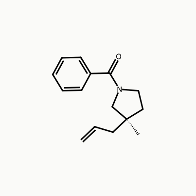 C=CC[C@]1(C)CCN(C(=O)c2ccccc2)C1